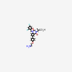 CC(CN1CC(=O)N(Cc2ccc(F)cc2F)c2ccc(-c3ccc(OCCN)cc3)cc2C1=O)C(=O)O